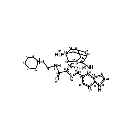 O=C(NCCN1CCCCC1)c1noc(-c2cnc3[nH]ccc3c2N[C@H]2C3CC4CC2C[C@@](O)(C4)C3)n1